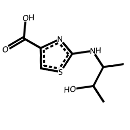 CC(O)C(C)Nc1nc(C(=O)O)cs1